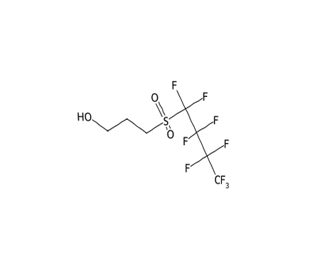 O=S(=O)(CCCO)C(F)(F)C(F)(F)C(F)(F)C(F)(F)F